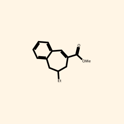 CCC1CC(C(=O)OC)=Cc2ccccc2C1